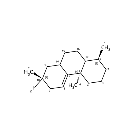 C[C@H]1CCC[C@@]2(C)C3=CC[C@](C)(I)CC3CCC12